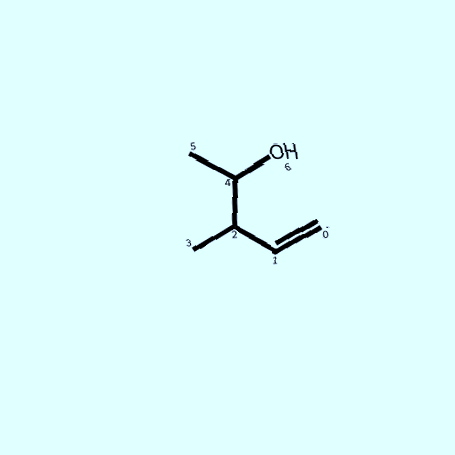 [CH]=CC(C)C(C)O